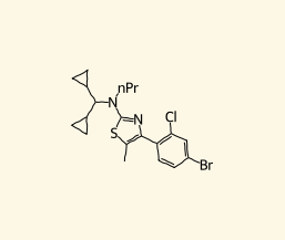 CCCN(c1nc(-c2ccc(Br)cc2Cl)c(C)s1)C(C1CC1)C1CC1